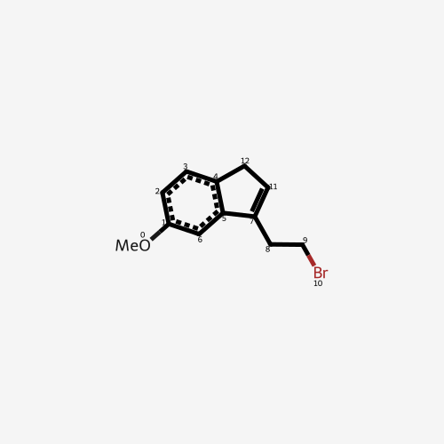 COc1ccc2c(c1)C(CCBr)=CC2